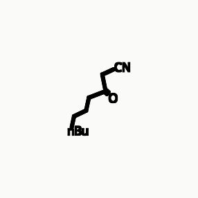 CCCCCCCC(=O)CC#N